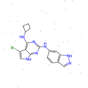 Brc1c[nH]c2nc(Nc3ccc4cn[nH]c4c3)nc(NC3CCC3)c12